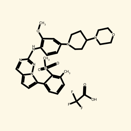 COc1cc(N2CCC(N3CCOCC3)CC2)ccc1Nc1ncc2ccc(-c3cccc(C)c3S(C)(=O)=O)n2n1.O=C(O)C(F)(F)F